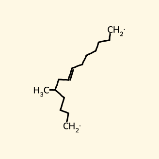 [CH2]CCCCCC=CCC(C)CCC[CH2]